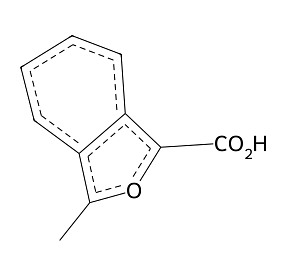 Cc1oc(C(=O)O)c2ccccc12